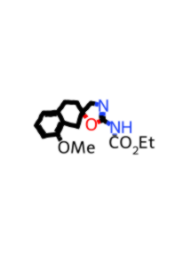 CCOC(=O)NC1=NCC2(CCc3cccc(OC)c3C2)O1